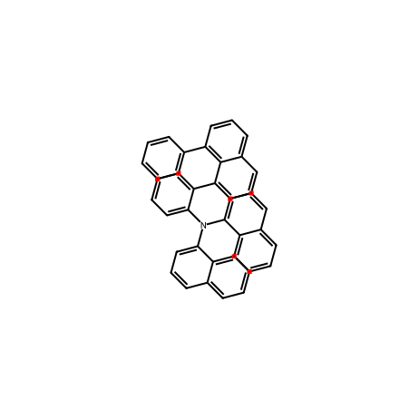 c1ccc(-c2cccc3cccc(-c4ccccc4N(c4cccc5ccccc45)c4cccc5ccccc45)c23)cc1